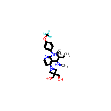 CCC(CC)C(NC)c1c(N2CC(CO)(CO)C2)ccnc1Nc1ccc(OC(F)(F)F)cc1